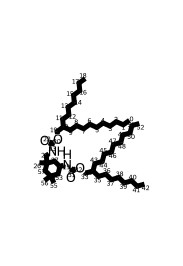 CCCCCCCCCCC(CCCCCCCC)COC(=O)NCC1(C)CC(NC(=O)OCC(CCCCCCCC)CCCCCCCCCC)CC(C)(C)C1